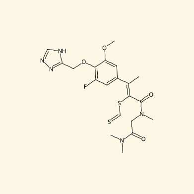 COc1cc(/C(C)=C(\SC=S)C(=O)N(C)CC(=O)N(C)C)cc(F)c1OCc1nnc[nH]1